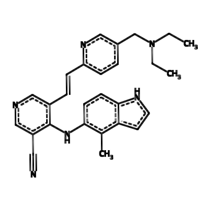 CCN(CC)Cc1ccc(/C=C/c2cncc(C#N)c2Nc2ccc3[nH]ccc3c2C)nc1